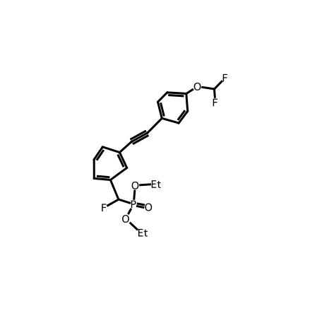 CCOP(=O)(OCC)C(F)c1cccc(C#Cc2ccc(OC(F)F)cc2)c1